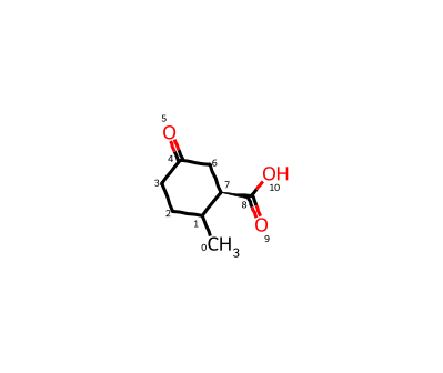 CC1CCC(=O)C[C@H]1C(=O)O